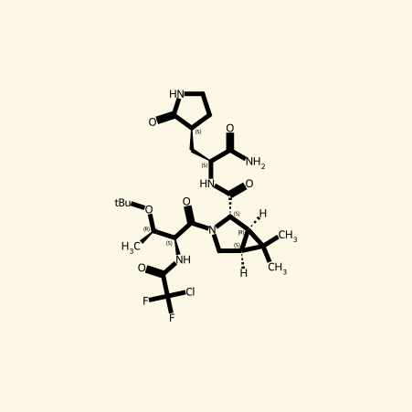 C[C@@H](OC(C)(C)C)[C@H](NC(=O)C(F)(F)Cl)C(=O)N1C[C@H]2[C@@H]([C@H]1C(=O)N[C@@H](C[C@@H]1CCNC1=O)C(N)=O)C2(C)C